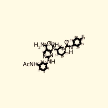 CC(=O)Nc1cccc(Nc2ncc(C(N)=O)c(N(C)C3CCCN(C(=O)Nc4ccc(F)cc4)C3)n2)c1